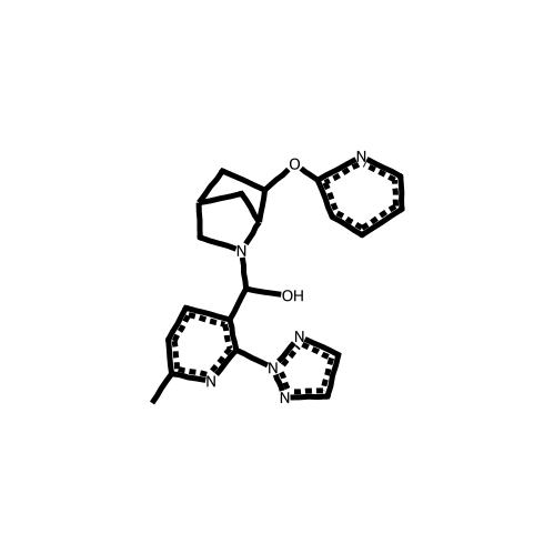 Cc1ccc(C(O)N2CC3CC(Oc4ccccn4)C2C3)c(-n2nccn2)n1